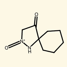 O=C1C[N+](=O)NC12CCCCC2